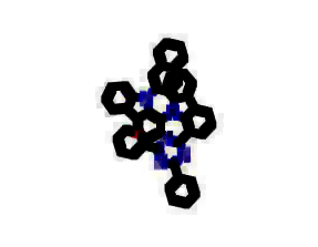 c1ccc(-c2nc(-c3ccccc3)nc(-c3cccc4c5ccccc5n(-c5cccc6c7ccccc7n(-c7ccc8ccccc8c7)c56)c34)n2)cc1